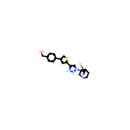 OCc1ccc(-c2csc(-c3cn([C@H]4CN5CCC4CC5)nn3)c2)cc1